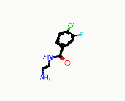 NCCNC(=O)c1ccc(Cl)c(F)c1